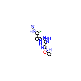 CN(C)CCNc1cc(F)cc(-c2cccc3[nH]c(-c4n[nH]c5ncc(-c6cncc(NC(=O)C7CCCCC7)c6)cc45)cc23)c1